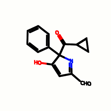 O=CC1=NC(C(=O)C2CC2)(c2ccccc2)C(O)=C1